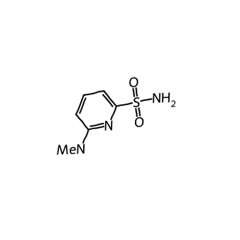 CNc1cccc(S(N)(=O)=O)n1